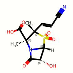 C[C@]1(C=CC#N)[C@](C)(C(=O)O)N2C(=O)[C@@H](O)[C@H]2S1(=O)=O